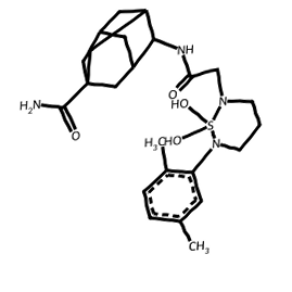 Cc1ccc(C)c(N2CCCN(CC(=O)NC3C4CC5CC3CC(C(N)=O)(C5)C4)S2(O)O)c1